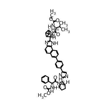 COC(=O)N[C@H](C(=O)N1[C@H](c2nc3ccc4cc(-c5ccc(-c6cnc([C@@H]7[C@H]8CC[C@H](C8)N7C(=O)[C@H](NC(=O)OC)c7ccccc7)[nH]6)cc5)ccc4c3[nH]2)C2C3[C@H]2[C@@H]31)C(C)C